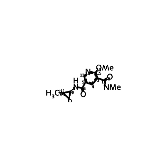 CNC(=O)c1cc(C(=O)N[C@@H]2C[C@H]2C)cnc1OC